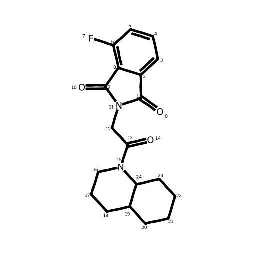 O=C1c2cccc(F)c2C(=O)N1CC(=O)N1CCCC2CCCCC21